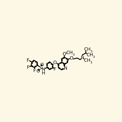 COc1cc2c(Oc3ccc(NS(=O)(=O)c4ccc(F)c(F)c4F)cc3F)ccnc2cc1OCCCN(C)CC(C)C